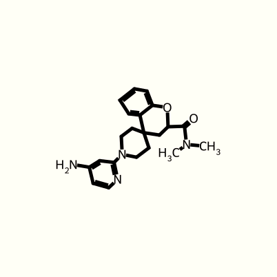 CN(C)C(=O)C1CC2(CCN(c3cc(N)ccn3)CC2)c2ccccc2O1